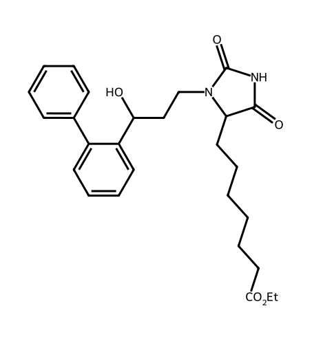 CCOC(=O)CCCCCCC1C(=O)NC(=O)N1CCC(O)c1ccccc1-c1ccccc1